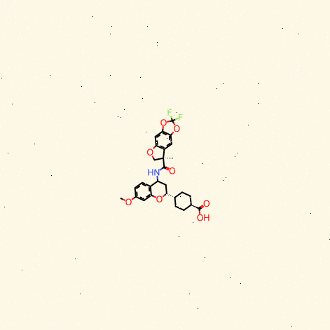 COc1ccc2c(c1)OC([C@H]1CC[C@H](C(=O)O)CC1)CC2NC(=O)[C@@]1(C)COc2cc3c(cc21)OC(F)(F)O3